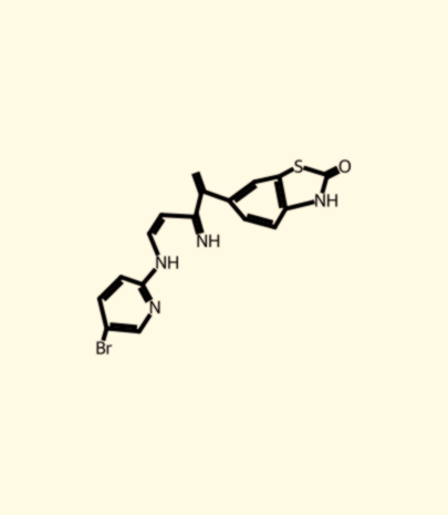 C=C(C(=N)/C=C\Nc1ccc(Br)cn1)c1ccc2[nH]c(=O)sc2c1